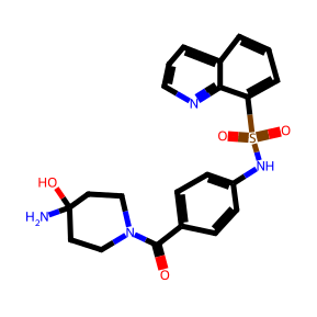 NC1(O)CCN(C(=O)c2ccc(NS(=O)(=O)c3cccc4cccnc34)cc2)CC1